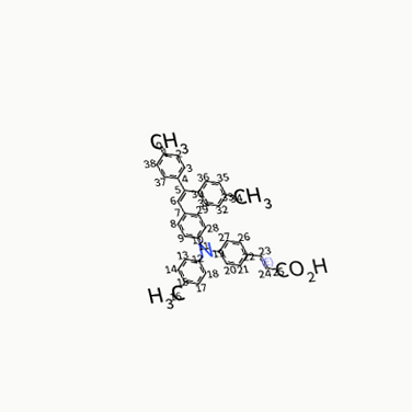 Cc1ccc(C(=Cc2ccc(N(c3ccc(C)cc3)c3ccc(/C=C/C(=O)O)cc3)cc2)c2ccc(C)cc2)cc1